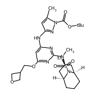 CCS(=O)(=O)N1[C@@H]2CCC[C@H]1C[C@@H](N(C)c1nc(Nc3cc(C)n(C(=O)OC(C)(C)C)n3)cc(OCC3COC3)n1)C2